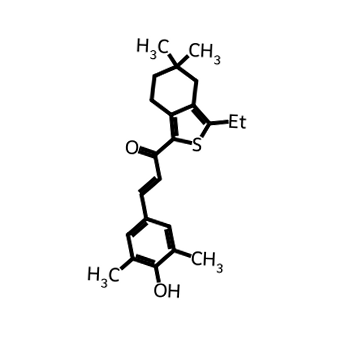 CCc1sc(C(=O)/C=C/c2cc(C)c(O)c(C)c2)c2c1CC(C)(C)CC2